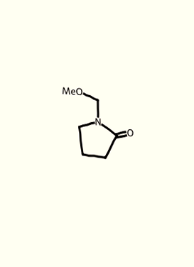 COCN1CCCC1=O